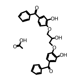 CC(=O)O.O=C(c1ccccc1)c1ccc(OCC(O)COc2ccc(C(=O)c3ccccc3)cc2O)c(O)c1